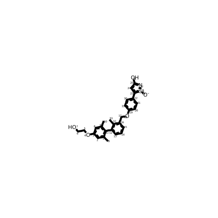 Cc1cc(OCCO)cc(C)c1-c1cccc(COc2ccc(-c3cc(O)n[s+]3[O-])cc2)c1C